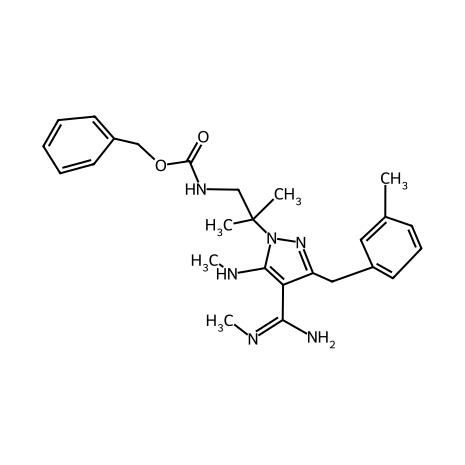 C/N=C(/N)c1c(Cc2cccc(C)c2)nn(C(C)(C)CNC(=O)OCc2ccccc2)c1NC